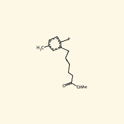 COC(=O)CCCCCc1cc(C)ccc1F